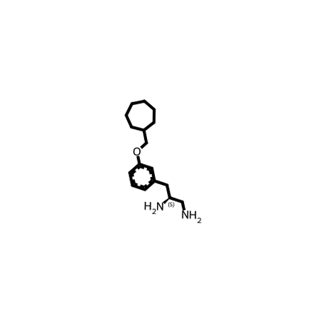 NC[C@@H](N)Cc1cccc(OCC2CCCCCC2)c1